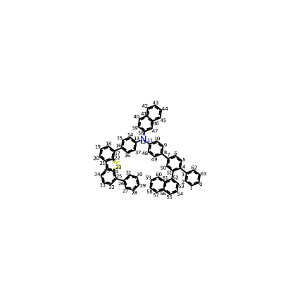 c1ccc(-c2ccc(-c3ccc(N(c4ccc(-c5cccc6c5sc5c(-c7ccccc7)cccc56)cc4)c4ccc5ccccc5c4)cc3)cc2-c2cccc3ccccc23)cc1